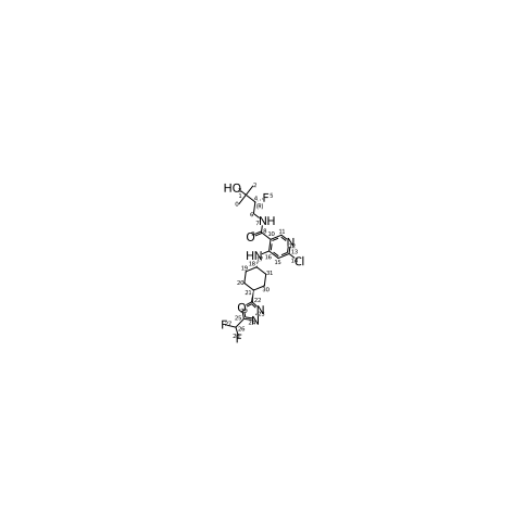 CC(C)(O)[C@H](F)CNC(=O)c1cnc(Cl)cc1N[C@H]1CC[C@H](c2nnc(C(F)F)o2)CC1